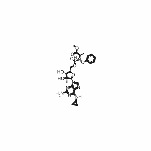 COC(=O)[C@@H](C)N(Oc1ccccc1)[PH](=O)OC[C@H]1O[C@@H](n2cnc3c(NC4CC4)nc(N)nc32)[C@](C)(O)[C@@H]1O